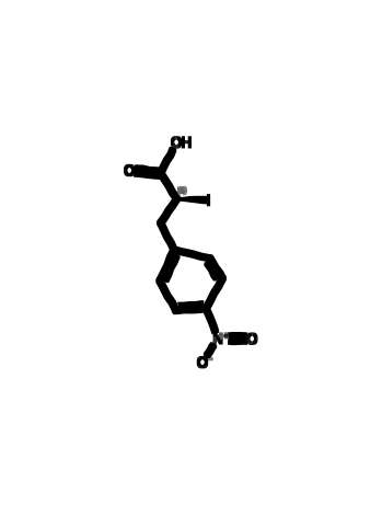 O=C(O)[C@@H](I)Cc1ccc([N+](=O)[O-])cc1